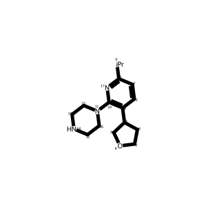 CC(C)c1ccc(C2CCOC2)c(N2CCNCC2)n1